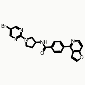 O=C(NC1CCN(c2ncc(Br)cn2)C1)c1ccc(-c2nccc3occc23)cc1